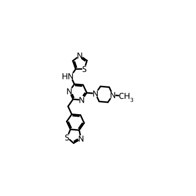 CN1CCN(c2cc(Nc3cncs3)nc(Cc3ccc4ncsc4c3)n2)CC1